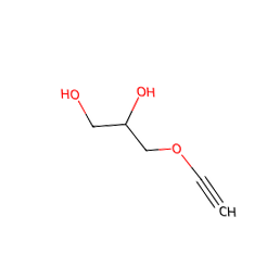 C#COCC(O)CO